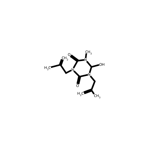 C=C(C)CN1C(=O)N(C)C(O)N(CC(=C)C)C1=O